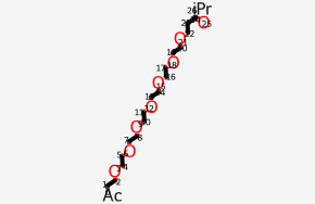 CC(=O)CCOCCOCCOCCOCCOCCOCCOCCC(=O)C(C)C